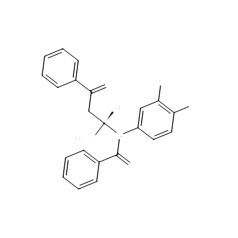 CCC[C@](CC(=O)c1ccccc1)(C(=O)O)N(C(=O)c1ccccc1)c1ccc(Cl)c(Cl)c1